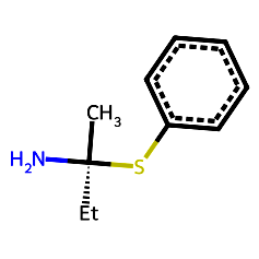 CC[C@@](C)(N)Sc1ccccc1